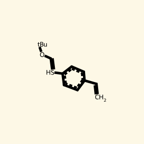 C=Cc1ccc([SH]=COC(C)(C)C)cc1